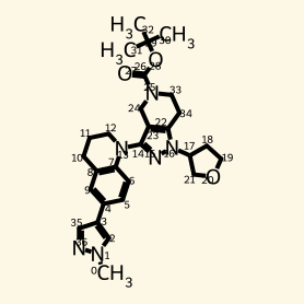 Cn1cc(-c2ccc3c(c2)CCCN3c2nn(C3CCOC3)c3c2CN(C(=O)OC(C)(C)C)CC3)cn1